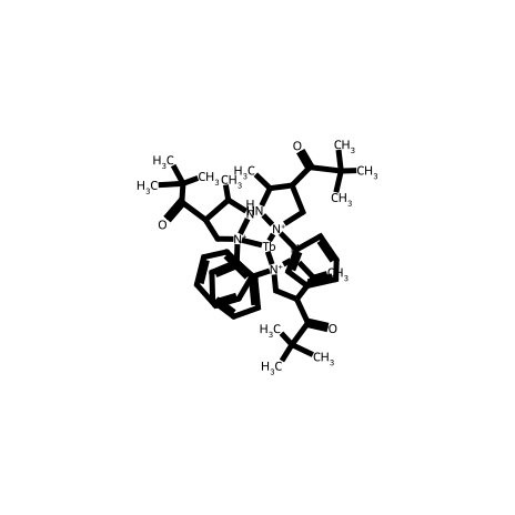 CC1N[N+](c2ccccc2)([Tb]([N+]2(c3ccccc3)CC(C(=O)C(C)(C)C)C(C)N2)[N+]2(c3ccccc3)CC(C(=O)C(C)(C)C)C(C)N2)CC1C(=O)C(C)(C)C